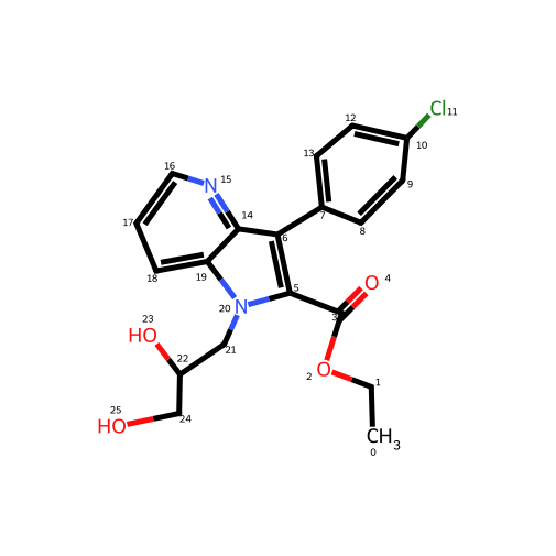 CCOC(=O)c1c(-c2ccc(Cl)cc2)c2ncccc2n1CC(O)CO